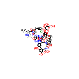 CNC[C@H](CC(C)C)C(=O)N[C@H]1C(=O)N[C@@H](CC(N)=O)C(=O)N[C@H]2C(=O)N[C@H]3C(=O)N(C)[C@H](C(=O)N[C@H](C(=O)O)c4cc(O)cc(O)c4-c4cc3ccc4O)[C@H](O)c3ccc(c(Cl)c3)Oc3cc2cc(c3OC2OC(CO)C(O)C(O)C2OC2CC(C)(N)C(O)C(C)O2)Oc2ccc(cc2Cl)[C@H]1O